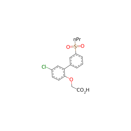 CCCS(=O)(=O)c1cccc(-c2cc(Cl)ccc2OCC(=O)O)c1